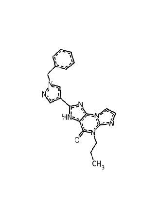 CCCn1c(=O)c2[nH]c(-c3cnn(Cc4ccccc4)c3)nc2n2ccnc12